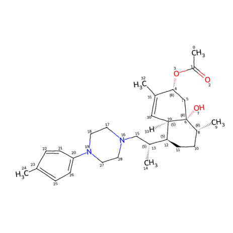 CC(=O)O[C@@H]1[C][C@@]2(O)[C@H](C)CC[C@@H]([C@H](C)CN3CCN(c4ccc(C)cc4)CC3)[C@H]2C=C1C